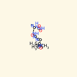 CC(C)c1cc(-c2cccc3cc(-c4ccc(C(=O)NCC#Cc5cc(NC6CCC(=O)NC6=O)cc(N6CCC6)c5)nc4)ncc23)cc2c1n(C)c(=O)n2C